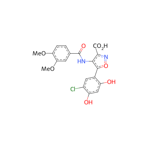 COc1ccc(C(=O)Nc2c(C(=O)O)noc2-c2cc(Cl)c(O)cc2O)cc1OC